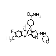 Cc1cc(F)c(Nc2nc3cnc(NC4CCOCC4)nc3n2C2CCC(C(N)=O)CC2)cc1F